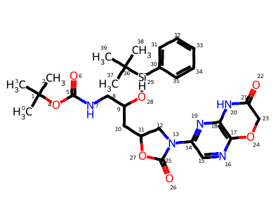 CC(C)(C)OC(=O)NCC(CC1CN(c2cnc3c(n2)NC(=O)CO3)C(=O)O1)O[SiH](c1ccccc1)C(C)(C)C